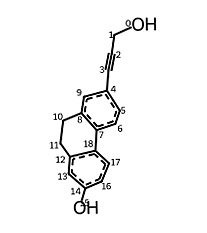 OCC#Cc1ccc2c(c1)CCc1cc(O)ccc1-2